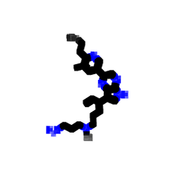 C=C/C(=C\CCN(CC)CCCN)c1c[nH]c2ncc(-c3cnc(CCC(C)(C)C)c(C)c3)nc12